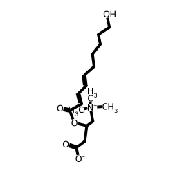 C[N+](C)(C)CC(CC(=O)[O-])OC(=O)C=CC=CCCCCCO